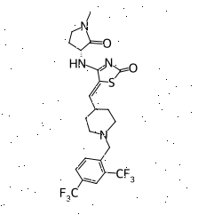 CN1CC[C@@H](NC2=NC(=O)SC2=CC2CCN(Cc3ccc(C(F)(F)F)cc3C(F)(F)F)CC2)C1=O